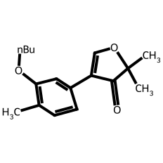 CCCCOc1cc(C2=COC(C)(C)C2=O)ccc1C